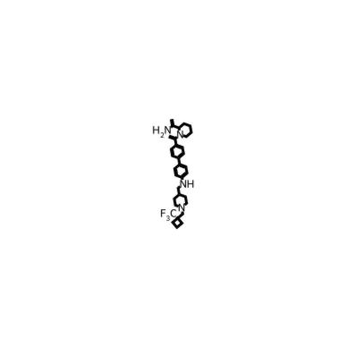 C=C(N)C1CCCCN1C(=C)c1ccc(-c2ccc(NCC3CCN(CC4(C(F)(F)F)CCC4)CC3)cc2)cc1